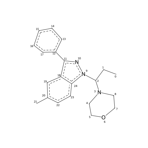 CCC(N1CCOCC1)n1nc(-c2ccccc2)c2cc(C)ccc21